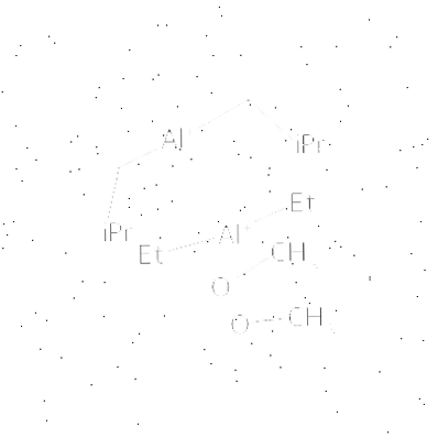 CC(C)[CH2][Al+][CH2]C(C)C.C[CH2][Al+][CH2]C.C[O-].C[O-]